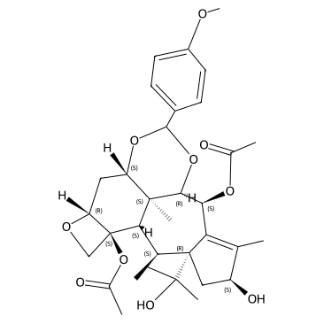 COc1ccc(C2O[C@H]3C[C@H]4OC[C@@]4(OC(C)=O)[C@H]4[C@H](C)[C@]5(C(C)(C)O)C[C@H](O)C(C)=C5[C@H](OC(C)=O)[C@H](O2)[C@]34C)cc1